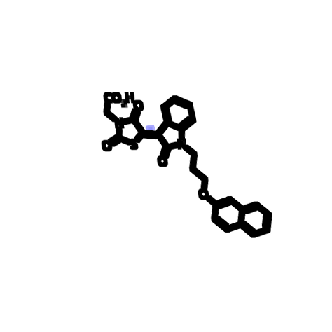 O=C(O)CN1C(=O)S/C(=C2\C(=O)N(CCCOc3ccc4ccccc4c3)c3ccccc32)C1=O